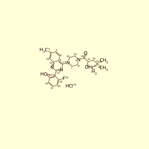 Cc1ccc2c(N3CCN(C(=O)C(O)CC(C)(C)C)CC3)nc(-c3c(O)cccc3F)nc2c1.Cl